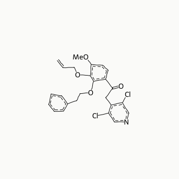 C=CCOc1c(OC)ccc(C(=O)Cc2c(Cl)cncc2Cl)c1OCCc1ccccc1